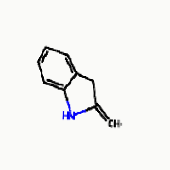 [CH]=C1Cc2ccccc2N1